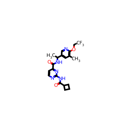 Cc1cc(C(C)NC(=O)c2ccnc(NC(=O)C3CCC3)n2)cnc1OCC(F)(F)F